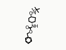 CC(C)(C)[Si](C)(C)O[C@H]1CC[C@H](NC(=O)OCc2ccccc2)CC1